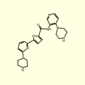 O=C(Nc1cnccc1N1CCNCC1)c1ccc(-c2cccc(N3CCNCC3)n2)o1